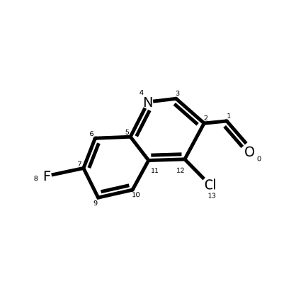 O=Cc1cnc2cc(F)ccc2c1Cl